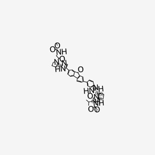 COC(=O)NCC(=O)N1CCC[C@H]1c1ncc(-c2ccc3c(c2)C(=O)c2cc(-c4ccc5nc([C@@H]6[C@H]7CC[C@H](C7)N6C(=O)[C@@H](NC(=O)OC)C(C)C)[nH]c5c4)ccc2-3)[nH]1